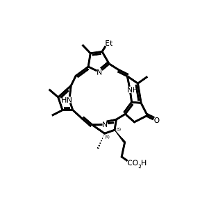 CCC1=C(C)c2cc3[nH]c(cc4nc(c5c6[nH]c(cc1n2)c(C)c6C(=O)C5)[C@@H](CCC(=O)O)[C@@H]4C)c(C)c3C